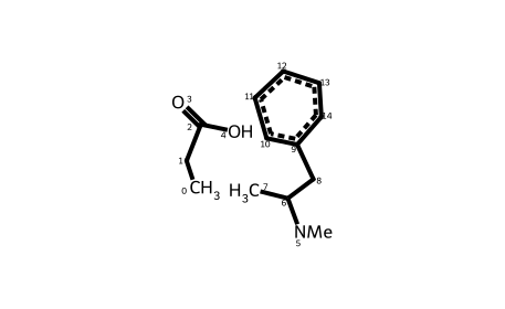 CCC(=O)O.CNC(C)Cc1ccccc1